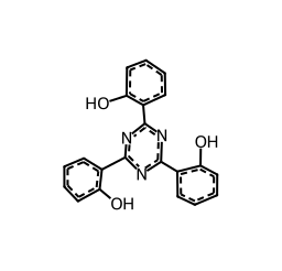 Oc1ccccc1-c1nc(-c2ccccc2O)nc(-c2ccccc2O)n1